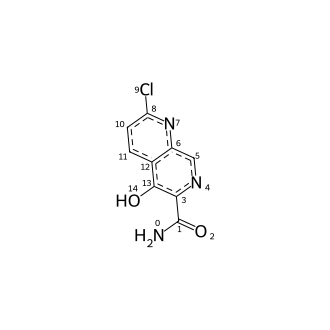 NC(=O)c1ncc2nc(Cl)ccc2c1O